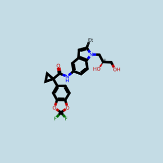 CCc1cc2cc(NC(=O)C3(c4ccc5c(c4)OC(F)(F)O5)CC3)ccc2n1C[C@H](O)CO